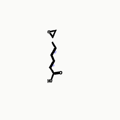 C/C=C/C=C/C(=O)O.C1CO1